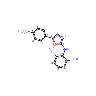 O=C(O)c1ccc(-c2cnc(Nc3c(F)cccc3F)o2)cc1